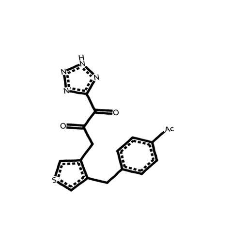 CC(=O)c1ccc(Cc2cscc2CC(=O)C(=O)c2nn[nH]n2)cc1